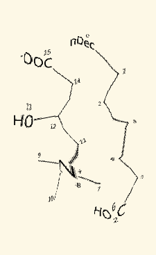 CCCCCCCCCCCCCCCC(=O)O.C[N+](C)(C)CC(O)CC(=O)[O-]